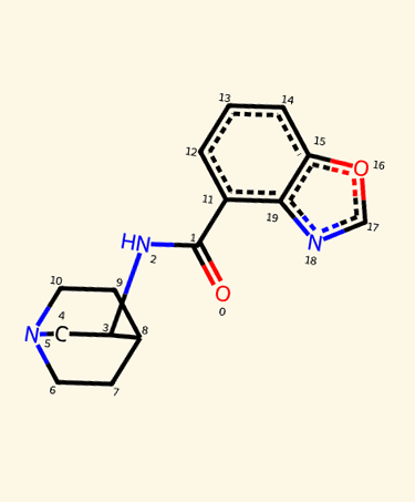 O=C(NC1CN2CCC1CC2)c1cccc2ocnc12